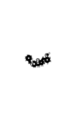 COc1cccc2c1cc1n2CC(CC2CCN(Cc3ccccc3)CC2)C1=O